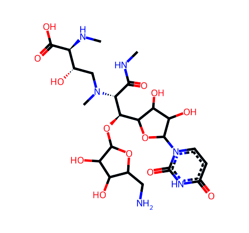 CNC(=O)[C@H]([C@H](OC1OC(CN)C(O)C1O)C1OC(n2ccc(=O)[nH]c2=O)C(O)C1O)N(C)C[C@H](O)[C@H](NC)C(=O)O